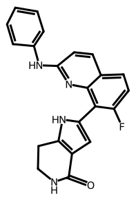 O=C1NCCc2[nH]c(-c3c(F)ccc4ccc(Nc5ccccc5)nc34)cc21